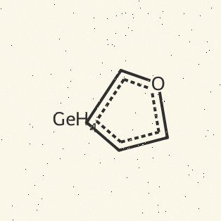 [GeH4].c1ccoc1